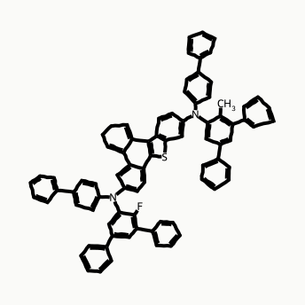 Cc1c(-c2ccccc2)cc(-c2ccccc2)cc1N(c1ccc(-c2ccccc2)cc1)c1ccc2c(c1)sc1c3ccc(N(c4ccc(-c5ccccc5)cc4)c4cc(-c5ccccc5)cc(-c5ccccc5)c4F)cc3c3c(c21)=CCCC=3